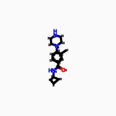 Cc1cc(C(=O)NC2CCC2)ccc1N1CCNCC1